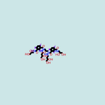 O=C(NCC(O)CO)c1c(I)cc(I)c(C(=O)N(CC(O)CN(NCCC(O)CO)C(=O)c2c(I)cc(I)c(C(=O)NCC(O)CO)c2I)NCCC(O)CO)c1I